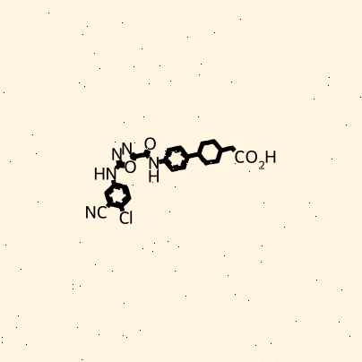 N#Cc1cc(Nc2nnc(C(=O)Nc3ccc(C4CCC(CC(=O)O)CC4)cc3)o2)ccc1Cl